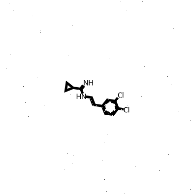 N=C(NC=Cc1ccc(Cl)c(Cl)c1)C1CC1